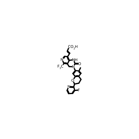 Cc1cc2c(cc1N1Cc3c(C(F)(F)F)ncc(/C=C/C(=O)O)c3NC1=O)OC(c1ncccc1F)CC2